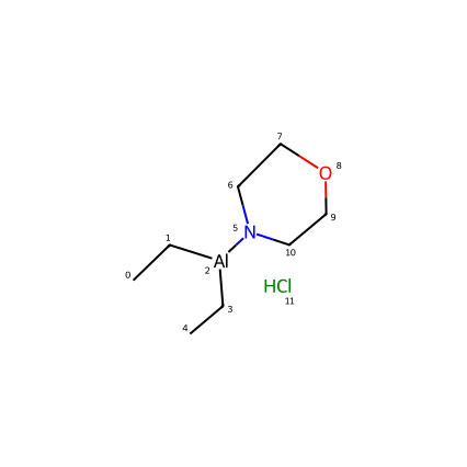 C[CH2][Al]([CH2]C)[N]1CCOCC1.Cl